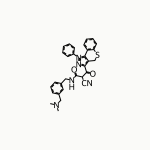 CN(C)Cc1cccc(CNC(=O)C(C#N)C(=O)c2nn(-c3ccccc3)c3c2CSc2ccccc2-3)c1